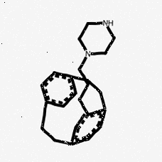 c1cc2ccc1CCc1ccc(c(CCCN3CCNCC3)c1)CC2